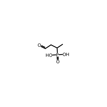 CC(CC=O)P(=O)(O)O